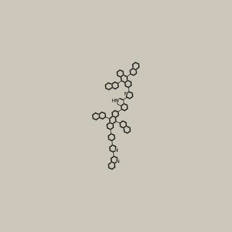 C1=C(c2cccc(-c3ccc4c(-c5ccc6ccccc6c5)c5ccccc5c(-c5ccc6ccccc6c5)c4c3)n2)c2cccc(-c3ccc4c(-c5ccc6ccccc6c5)c5ccc(-c6ccc(-c7ccc(-c8cnc9ccccc9c8)nc7)cc6)cc5c(-c5ccc6ccccc6c5)c4c3)c2CN1